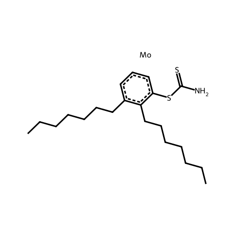 CCCCCCCc1cccc(SC(N)=S)c1CCCCCCC.[Mo]